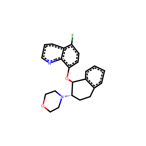 Fc1ccc(O[C@H]2c3ccccc3CC[C@@H]2N2CCOCC2)c2ncccc12